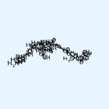 CCc1c2c(nc3ccc(OC(=O)OCCSSC[C@H](NC(=O)[C@H](CC(=O)O)NC(=O)[C@H](CCCNC(=N)N)NC(=O)[C@H](CC(=O)O)NC(=O)CC[C@@H](NC(=O)c4ccc(NCc5cnc6nc(N)[nH]c(=O)c6n5)cc4)C(=O)O)C(=O)O)cc13)-c1cc3c(c(=O)n1C2)COC(=O)[C@]3(O)CC